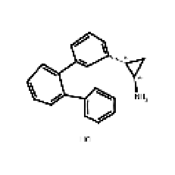 Cl.N[C@@H]1C[C@H]1c1cccc(-c2ccccc2-c2ccccc2)c1